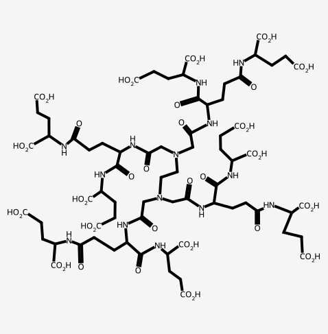 O=C(O)CCC(NC(=O)CCC(NC(=O)CN(CCN(CC(=O)NC(CCC(=O)NC(CCC(=O)O)C(=O)O)C(=O)NC(CCC(=O)O)C(=O)O)CC(=O)NC(CCC(=O)NC(CCC(=O)O)C(=O)O)C(=O)NC(CCC(=O)O)C(=O)O)CC(=O)NC(CCC(=O)NC(CCC(=O)O)C(=O)O)C(=O)NC(CCC(=O)O)C(=O)O)C(=O)NC(CCC(=O)O)C(=O)O)C(=O)O